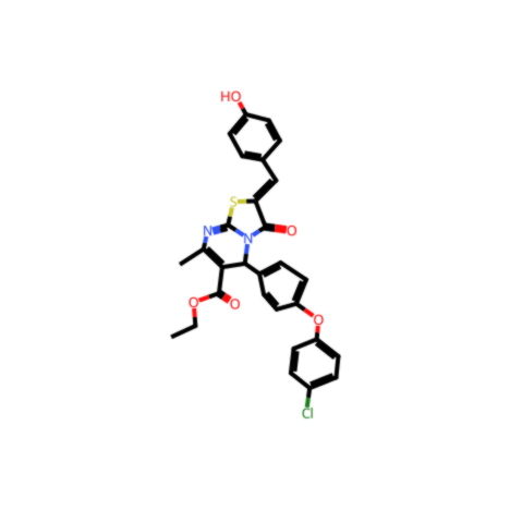 CCOC(=O)C1=C(C)N=c2sc(=Cc3ccc(O)cc3)c(=O)n2C1c1ccc(Oc2ccc(Cl)cc2)cc1